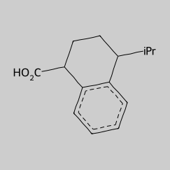 CC(C)C1CCC(C(=O)O)c2ccccc21